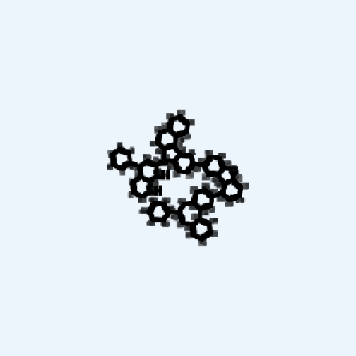 C1=CC2=C(c3ccccc3)C=C(n3c4ccc(-c5ccc6oc7cccc(-c8ccc9c(c8)-c8ccccc8C=C(c8ccccc8)C9)c7c6c5)cc4c4c5ccccc5ccc43)NC2NC1